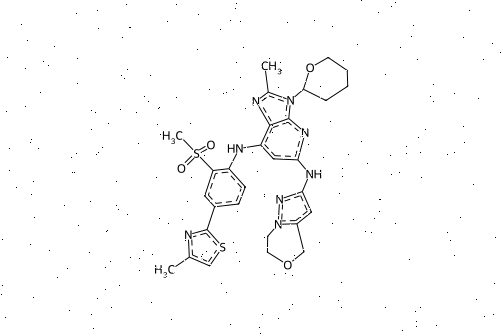 Cc1csc(-c2ccc(Nc3cc(Nc4cc5n(n4)CCOC5)nc4c3nc(C)n4C3CCCCO3)c(S(C)(=O)=O)c2)n1